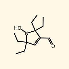 CCC1(CC)C=C(C=O)C(CC)(CC)N1O